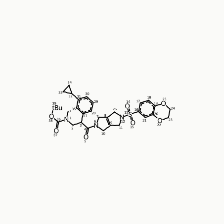 CN(CC(C(=O)N1CC2=C(C1)CN(S(=O)(=O)c1ccc3c(c1)OCCO3)C2)c1cccc(C2CC2)c1)C(=O)OC(C)(C)C